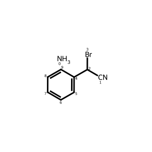 N.N#CC(Br)c1ccccc1